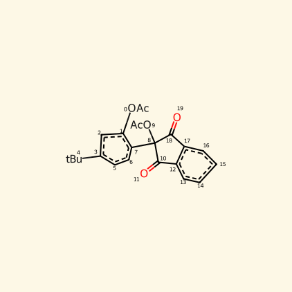 CC(=O)Oc1cc(C(C)(C)C)ccc1C1(OC(C)=O)C(=O)c2ccccc2C1=O